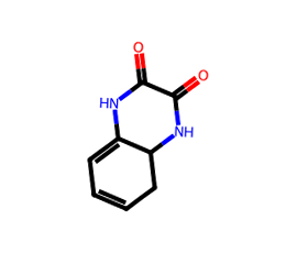 O=C1NC2=CC=CCC2NC1=O